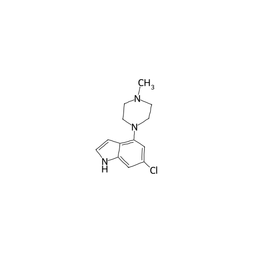 CN1CCN(c2cc(Cl)cc3[nH]ccc23)CC1